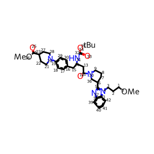 COCCCn1c(C2CCCN(C(=O)CC(Cc3ccc(N4CCC(C(=O)OC)CC4)cc3)NC(=O)OC(C)(C)C)C2)nc2ccccc21